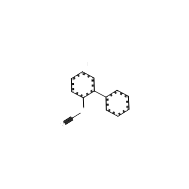 N#COc1ccccc1-c1ccccc1.S